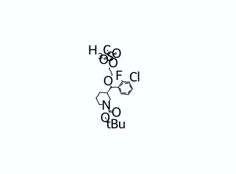 CC(C)(C)OC(=O)N1CCC[C@@H](C(OCCOS(C)(=O)=O)c2cccc(Cl)c2F)C1